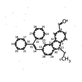 CCn1c2ccc(C=O)cc2c2cc(C=C(c3ccccc3)c3ccccc3)ccc21